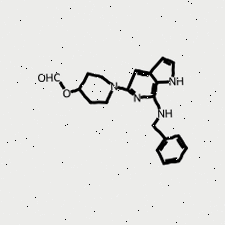 O=COC1CCN(c2cc3cc[nH]c3c(NCc3ccccc3)n2)CC1